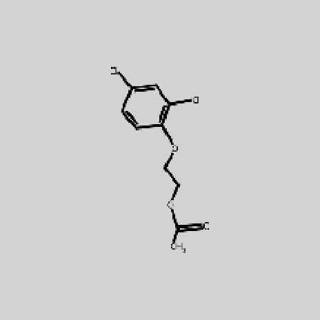 CC(=O)OCCOc1ccc(Cl)cc1Cl